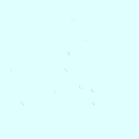 CC(C)(C)OC(=O)N1CC2CCC1CN2Cc1cc(F)cnc1Oc1ccc2c(nnn2CC2CC2)c1Br